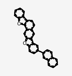 c1ccc2cc(-c3ccc4oc5cc6c(ccc7c8ccccc8oc67)cc5c4c3)ccc2c1